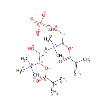 C=C(C)C(=O)OC(CO)[N+](C)(C)C.C=C(C)C(=O)OC(CO)[N+](C)(C)C.O=S(=O)([O-])[O-]